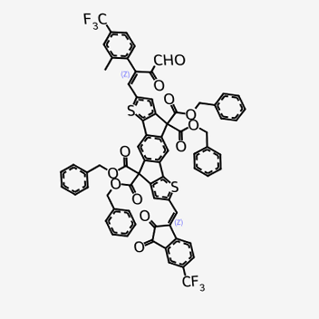 Cc1cc(C(F)(F)F)ccc1/C(=C/c1cc2c(s1)-c1cc3c(cc1C2(C(=O)OCc1ccccc1)C(=O)OCc1ccccc1)-c1sc(/C=C2\C(=O)C(=O)c4cc(C(F)(F)F)ccc42)cc1C3(C(=O)OCc1ccccc1)C(=O)OCc1ccccc1)C(=O)C=O